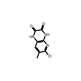 Cc1cc2[nH]c(=O)c(=O)[nH]c2nc1Cl